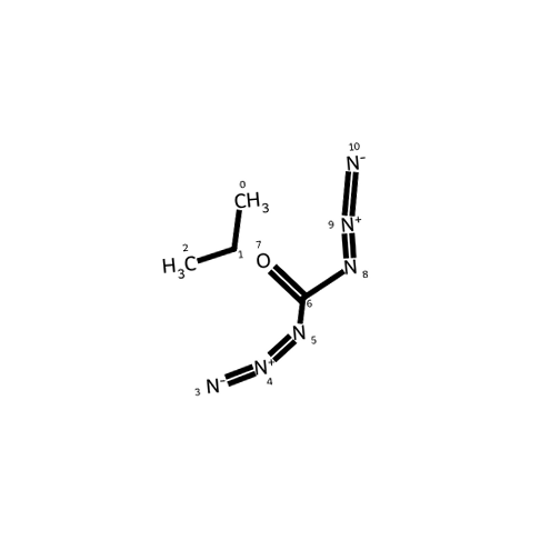 CCC.[N-]=[N+]=NC(=O)N=[N+]=[N-]